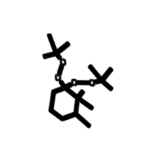 CC1CCCC(OOC(C)(C)C)(OOC(C)(C)C)C1(C)C